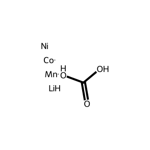 O=C(O)O.[Co].[LiH].[Mn].[Ni]